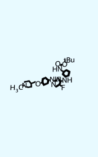 CN1CCC(COc2ccc(Nc3ncc(F)c(Nc4cccc(NC(=O)OC(C)(C)C)c4)n3)cc2)CC1